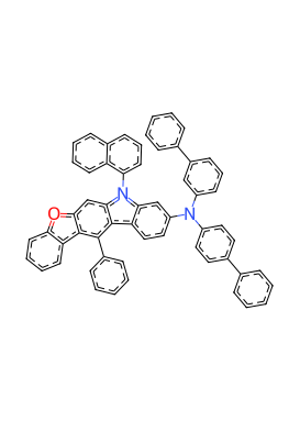 c1ccc(-c2ccc(N(c3cccc(-c4ccccc4)c3)c3ccc4c5c(-c6ccccc6)c6c(cc5n(-c5cccc7ccccc57)c4c3)oc3ccccc36)cc2)cc1